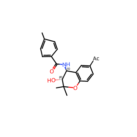 CC(=O)c1ccc2c(c1)[C@H](NC(=O)c1ccc(C)cc1)[C@@H](O)C(C)(C)O2